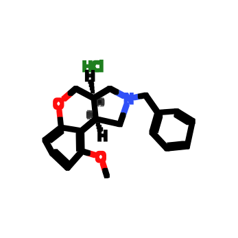 COc1cccc2c1[C@@H]1CN(Cc3ccccc3)C[C@@H]1CO2.Cl